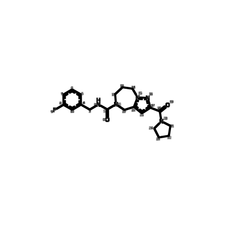 O=C(NCc1cccc(F)c1)N1CCCn2nc(C(=O)N3CCCC3)cc2C1